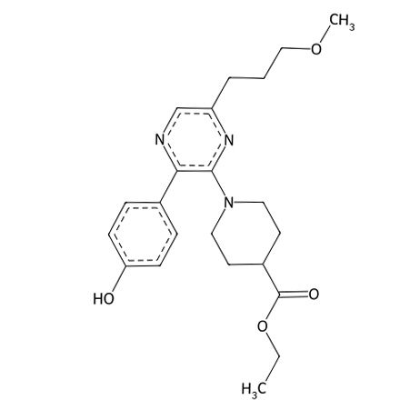 CCOC(=O)C1CCN(c2nc(CCCOC)cnc2-c2ccc(O)cc2)CC1